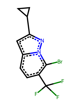 FC(F)(F)c1ccc2cc(C3CC3)nn2c1Br